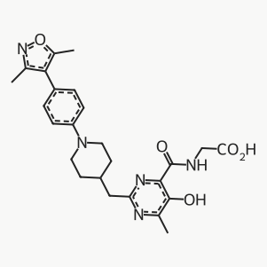 Cc1nc(CC2CCN(c3ccc(-c4c(C)noc4C)cc3)CC2)nc(C(=O)NCC(=O)O)c1O